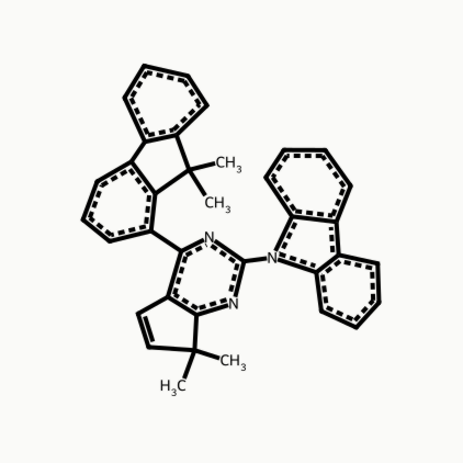 CC1(C)C=Cc2c(-c3cccc4c3C(C)(C)c3ccccc3-4)nc(-n3c4ccccc4c4ccccc43)nc21